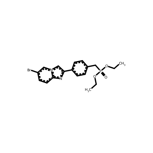 CCOP(=O)(Cc1ccc(-c2cn3cc(Br)ccc3n2)cc1)OCC